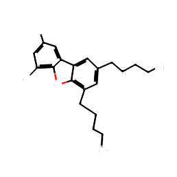 CCCCCc1cc(CCCCC)c2oc3c(C)cc(C)cc3c2c1